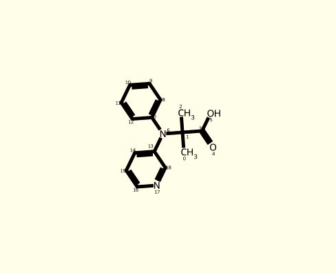 CC(C)(C(=O)O)N(c1ccccc1)c1cccnc1